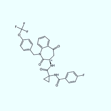 O=C(NC1(C(=O)N[C@@H]2CC(=O)c3ccccc3N(Cc3ccc(OC(F)(F)F)cc3)C2=O)CC1)c1ccc(F)cc1